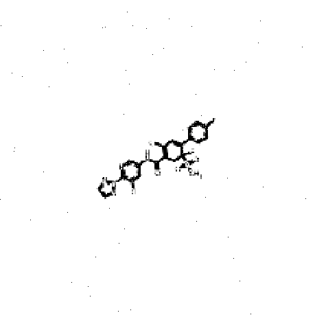 CS(=O)(=O)C1(F)CC(C(=O)Nc2cnc(-n3nccn3)c(Cl)c2)=C(Cl)C=C1c1ccc(F)cc1